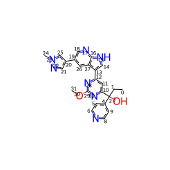 CCC(O)(c1ccncc1)c1cc(-c2c[nH]c3ncc(-c4cnn(C)c4)cc23)nc(OC)n1